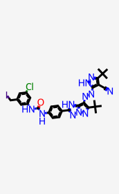 CC(C)(C)c1n[nH]c(N=Nc2c(C(C)(C)C)nn3nc(-c4ccc(NC(=O)Nc5cc(Cl)cc(CI)c5)cc4)[nH]c23)c1C#N